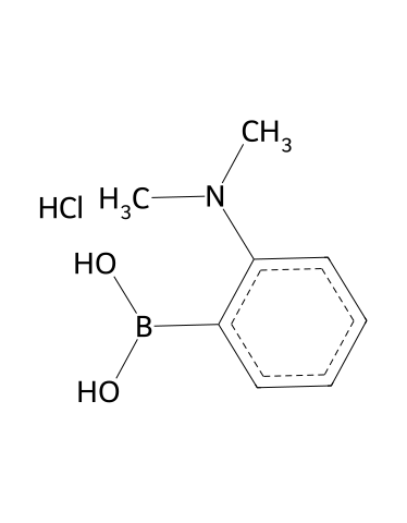 CN(C)c1ccccc1B(O)O.Cl